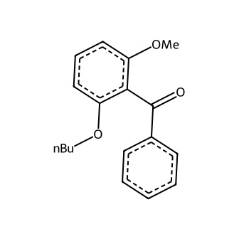 CCCCOc1cccc(OC)c1C(=O)c1ccccc1